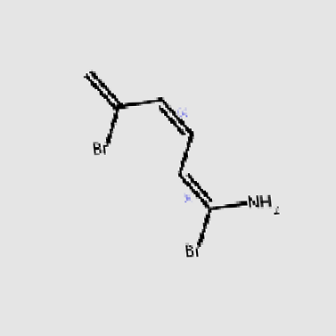 C=C(Br)/C=C\C=C(/N)Br